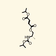 CC(C)OC(=O)/C=C/C(=O)OC[C@H](C)NC(=O)OC(C)C